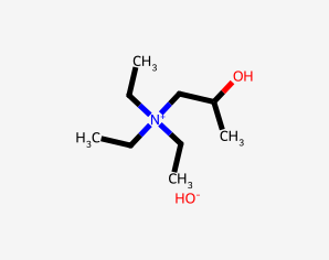 CC[N+](CC)(CC)CC(C)O.[OH-]